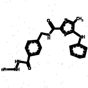 CCCNNC(=O)c1ccc(CNC(=O)c2nc(C)c(Nc3ccccc3)s2)cc1